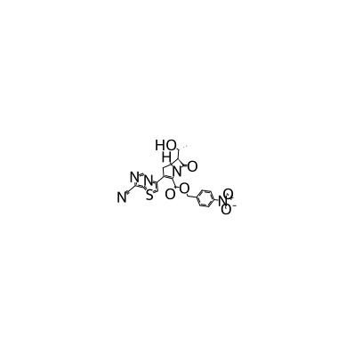 C[C@@H](O)[C@H]1C(=O)N2C(C(=O)OCc3ccc([N+](=O)[O-])cc3)=C(c3csc4c(C#N)ncn34)C[C@H]12